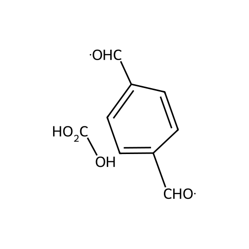 O=C(O)O.O=[C]c1ccc([C]=O)cc1